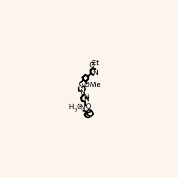 CCOc1cncc(-c2ccc(CN3CCN(c4ccc(C(=O)N(C)CC56CC7CC(CC(C7)C5)C6)nn4)CC3)c(OC)c2)c1